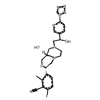 Cc1c([C@H]2CN3CCN(CC(O)c4ccc(-n5cnnn5)nc4)C[C@H]3CO2)ccc(F)c1C#N.Cl